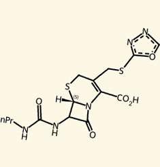 CCCNC(=O)NC1C(=O)N2C(C(=O)O)=C(CSc3nnco3)CS[C@@H]12